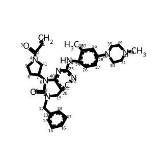 C=CC(=O)N1CCC(N2C(=O)N(Cc3ccccc3)Cc3cnc(Nc4ccc(N5CCN(C)CC5)cc4C)nc32)C1